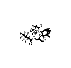 CC1(C)C2CCC1(C)C1(SCC(COC(=O)C(F)(F)C(F)(F)C(F)(F)F)S1)C2OC(=O)C(F)(F)S(=O)(=O)O